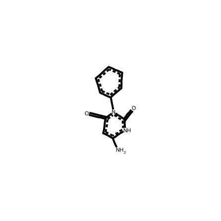 Nc1cc(=O)n(-c2ccccc2)c(=O)[nH]1